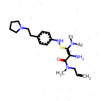 C=CCN(C)C(=O)/C(N)=C(\SNc1ccc(CCN2CCCC2)cc1)N(CC)C(C)=O